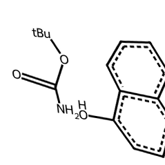 CC(C)(C)OC(N)=O.Oc1cccc2ccccc12